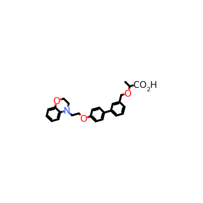 CC(OCc1cccc(-c2ccc(OCCN3CCOc4ccccc43)cc2)c1)C(=O)O